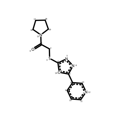 O=C(CSc1nnc(-c2cccnc2)o1)N1CCCC1